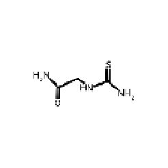 NC(=O)CNC(N)=S